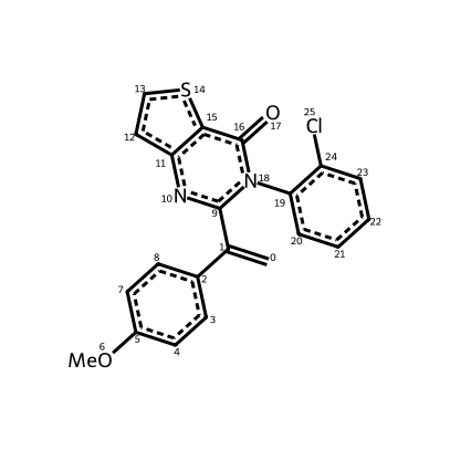 C=C(c1ccc(OC)cc1)c1nc2ccsc2c(=O)n1-c1ccccc1Cl